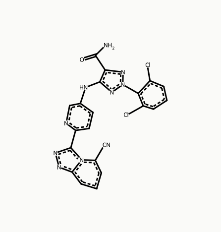 N#Cc1cccc2nnc(-c3ccc(Nc4nn(-c5c(Cl)cccc5Cl)nc4C(N)=O)cn3)n12